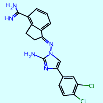 N=C(N)c1cccc2c1CCC2=Nn1cc(-c2ccc(Cl)c(Cl)c2)nc1N